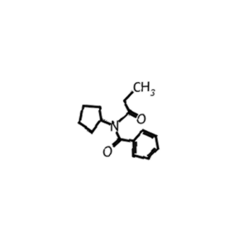 CCC(=O)N(C(=O)c1ccccc1)C1CCCC1